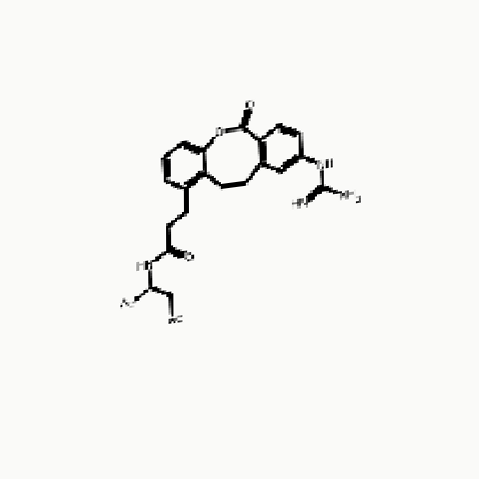 CC(=O)C[C@H](NC(=O)CCc1cccc2c1CCc1cc(NC(=N)N)ccc1C(=O)O2)C(C)=O